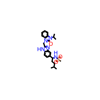 CC(C)CCC(NS(C)(=O)=O)c1ccc2[nH]c(Cn3c(=O)n(C(C)C)c4ccccc43)nc2c1